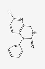 O=C1NCc2nc(F)ccc2N1c1ccccc1